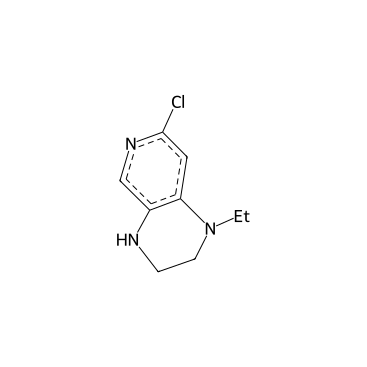 CCN1CCNc2cnc(Cl)cc21